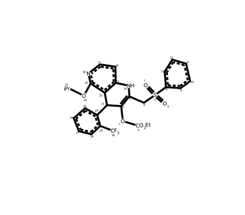 CCOC(=O)OC1=C(CS(=O)(=O)c2ccccc2)Nc2ccnc(OC(C)C)c2C1c1ccccc1C(F)(F)F